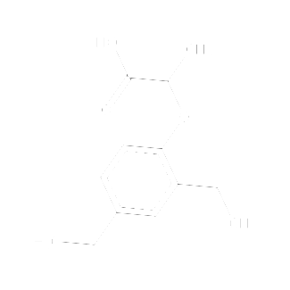 CCc1ccc(OC(C)C(=O)O)c(CC)c1